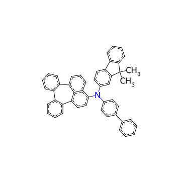 CC1(C)c2ccccc2-c2ccc(N(c3ccc(-c4ccccc4)cc3)c3ccc4c5c(cccc35)-c3ccccc3-c3ccccc3-4)cc21